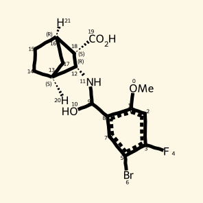 COc1cc(F)c(Br)cc1C(O)N[C@@H]1[C@H]2CC[C@H](C2)[C@@H]1C(=O)O